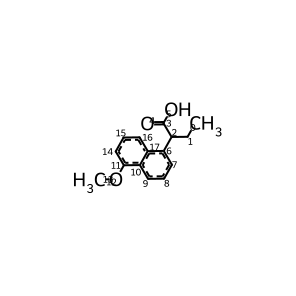 CCC(C(=O)O)c1cccc2c(OC)cccc12